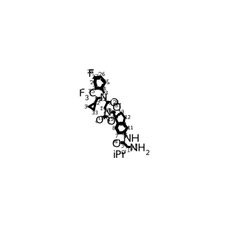 CC(C)[C@@H](N)C(=O)Nc1ccc2c(c1)CCC21OC(=O)N(CC(=O)N(Cc2ccc(F)cc2)[C@H](C2CC2)C(F)(F)F)C1=O